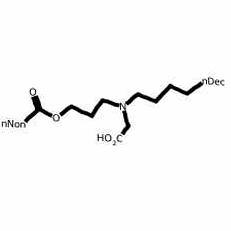 CCCCCCCCCCCCCCN(CCCOC(=O)CCCCCCCCC)CC(=O)O